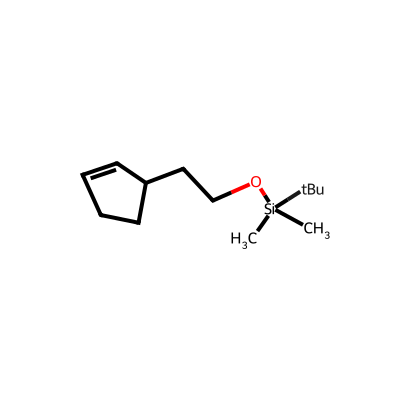 CC(C)(C)[Si](C)(C)OCCC1C=CCC1